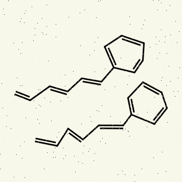 C=CC=CC=Cc1ccccc1.C=CC=CC=Cc1ccccc1